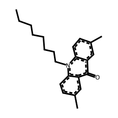 CCCCCCCCn1c2ccc(C)cc2c(=O)c2cc(C)ccc21